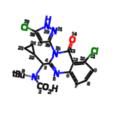 CC(C)(C)N(C(=O)O)C(c1nc2cccc(Cl)c2c(=O)n1-c1cc(Cl)[nH]n1)C1CC1